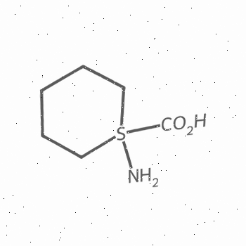 NS1(C(=O)O)CCCCC1